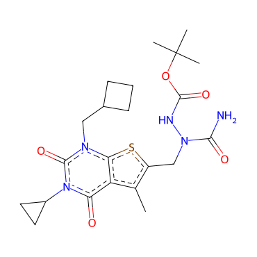 Cc1c(CN(NC(=O)OC(C)(C)C)C(N)=O)sc2c1c(=O)n(C1CC1)c(=O)n2CC1CCC1